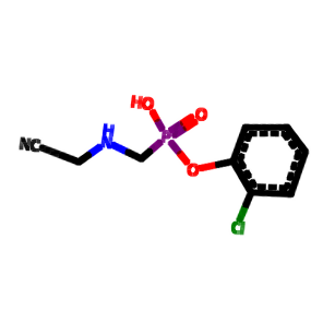 N#CCNCP(=O)(O)Oc1ccccc1Cl